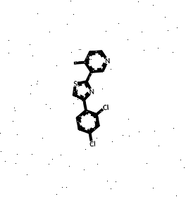 Cc1ccncc1-c1nc(-c2ccc(Cl)cc2Cl)cs1